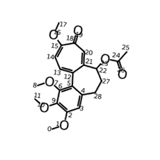 COc1cc2c(c(OC)c1OC)-c1ccc(OC)c(=O)cc1C(OC(C)=O)CC2